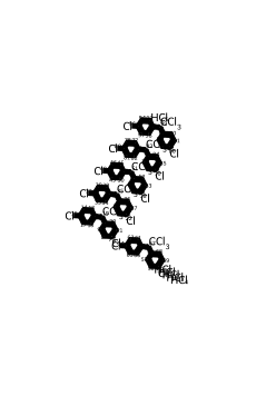 Cl.Cl.Cl.Cl.Cl.Cl.Clc1ccc(C(c2ccc(Cl)cc2)C(Cl)(Cl)Cl)cc1.Clc1ccc(C(c2ccc(Cl)cc2)C(Cl)(Cl)Cl)cc1.Clc1ccc(C(c2ccc(Cl)cc2)C(Cl)(Cl)Cl)cc1.Clc1ccc(C(c2ccc(Cl)cc2)C(Cl)(Cl)Cl)cc1.Clc1ccc(C(c2ccc(Cl)cc2)C(Cl)(Cl)Cl)cc1.Clc1ccc(C(c2ccc(Cl)cc2)C(Cl)(Cl)Cl)cc1